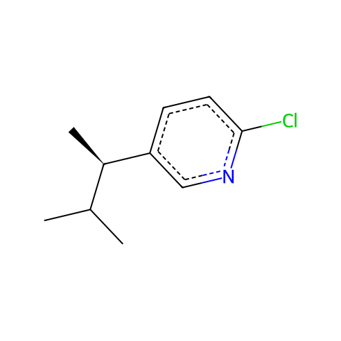 CC(C)[C@@H](C)c1ccc(Cl)nc1